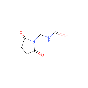 B=CNCN1C(=O)CCC1=O